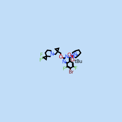 CC(C)(C)OC(=O)N1C2CCC1CN(c1nc(OCC3(CN4CCCC5(C4)CC5(F)F)CC3)nc3c(F)c(Br)c(F)cc13)C2